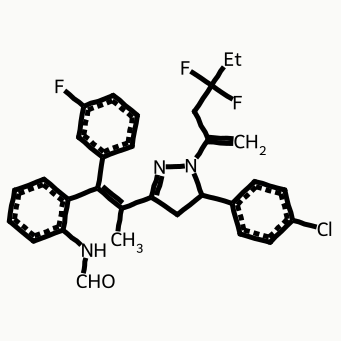 C=C(CC(F)(F)CC)N1N=C(/C(C)=C(\c2cccc(F)c2)c2ccccc2NC=O)CC1c1ccc(Cl)cc1